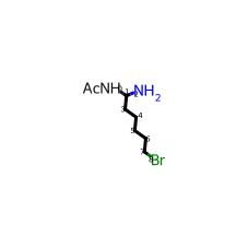 CC(=O)NC(N)CCCCCBr